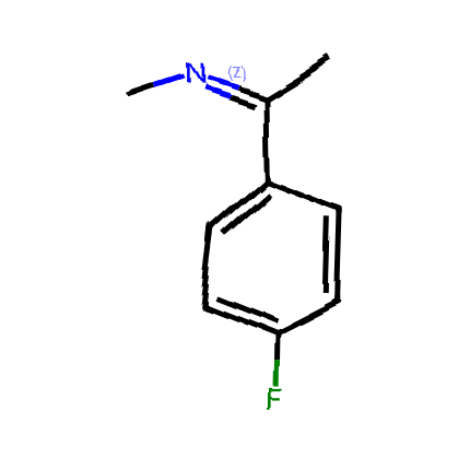 C/N=C(/C)c1ccc(F)cc1